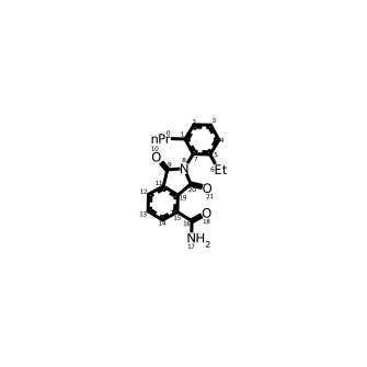 CCCc1cccc(CC)c1N1C(=O)c2cccc(C(N)=O)c2C1=O